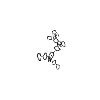 O=P1(c2ccccc2)c2ccccc2-c2cc3c(cc21)c1ccccc1n3-c1ccc(-c2cc(-c3ccc(-c4ccccc4)cc3)nc(-c3ccc(-c4ccccc4)cc3)c2)cc1